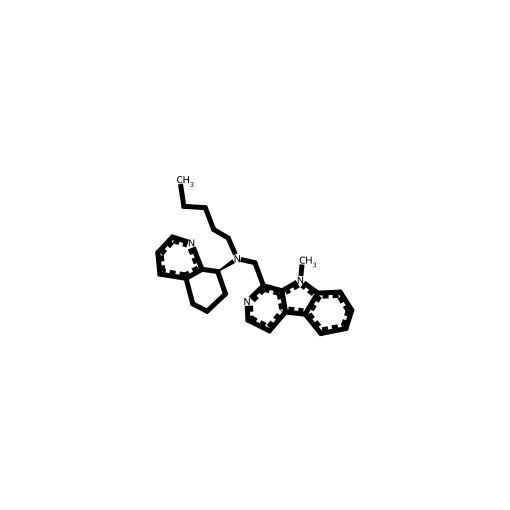 CCCCCN(Cc1nccc2c3ccccc3n(C)c12)[C@H]1CCCc2cccnc21